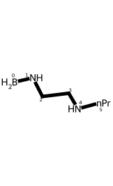 BNCCNCCC